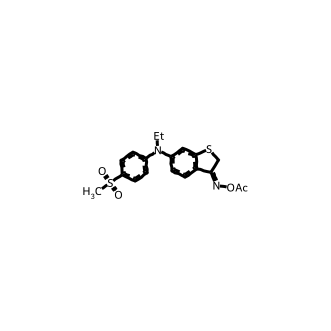 CCN(c1ccc(S(C)(=O)=O)cc1)c1ccc2c(c1)SCC2=NOC(C)=O